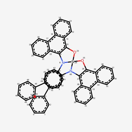 c1ccc(-c2ccc(N3c4c(c5ccccc5c5ccccc45)O[Si]34Oc3c(c5ccccc5c5ccccc35)N4c3ccc(-c4ccccc4)cc3)cc2)cc1